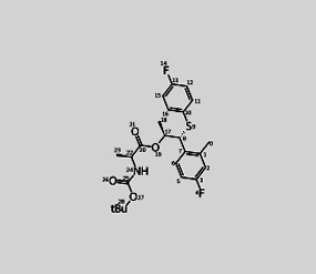 Cc1cc(F)ccc1[C@@H](Sc1ccc(F)cc1)[C@H](C)OC(=O)[C@H](C)NC(=O)OC(C)(C)C